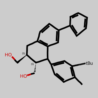 Cc1ccc(C2c3cc(-c4ccccc4)ccc3C[C@H](CO)[C@H]2CO)cc1C(C)(C)C